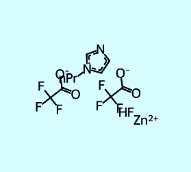 CCCn1ccnc1.F.O=C([O-])C(F)(F)F.O=C([O-])C(F)(F)F.[Zn+2]